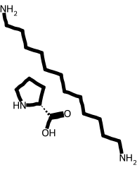 NCCCCCCCCCCCCN.O=C(O)[C@H]1CCCN1